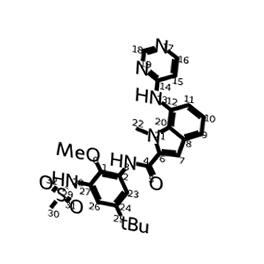 COc1c(NC(=O)c2cc3cccc(Nc4ccncn4)c3n2C)cc(C(C)(C)C)cc1NS(C)(=O)=O